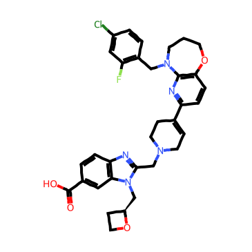 O=C(O)c1ccc2nc(CN3CC=C(c4ccc5c(n4)N(Cc4ccc(Cl)cc4F)CCCO5)CC3)n(C[C@@H]3CCO3)c2c1